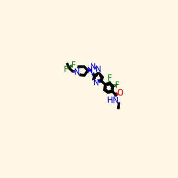 CCNC(=O)c1ccc(-c2cc3nnn(C4CCN(CC(C)(F)F)CC4)c3cn2)c(F)c1F